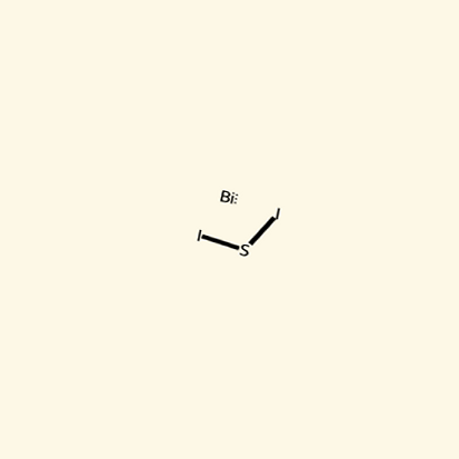 ISI.[Bi]